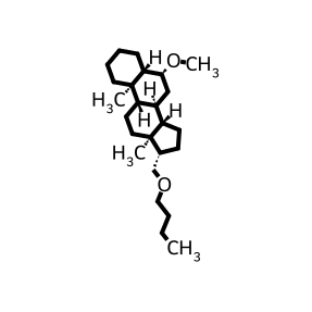 CCCCOC[C@H]1CC[C@H]2[C@@H]3C[C@@H](OC)[C@H]4CCCC[C@]4(C)[C@H]3CC[C@]12C